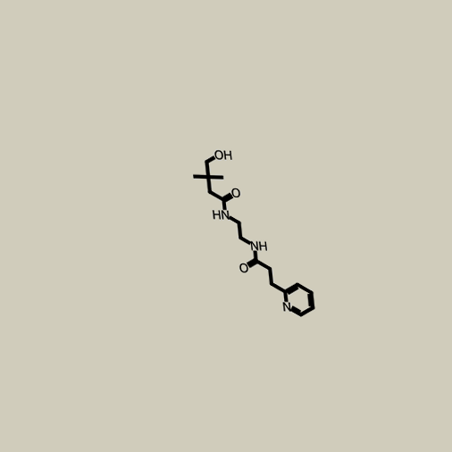 CC(C)(CO)CC(=O)NCCNC(=O)CCc1ccccn1